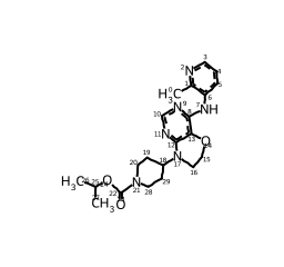 Cc1ncccc1Nc1ncnc2c1OCCN2C1CCN(C(=O)OC(C)C)CC1